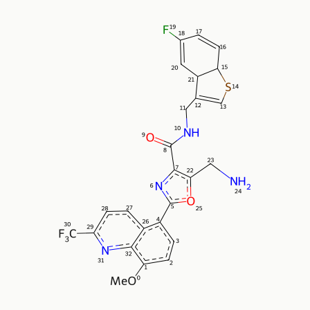 COc1ccc(-c2nc(C(=O)NCC3=CSC4C=CC(F)=CC34)c(CN)o2)c2ccc(C(F)(F)F)nc12